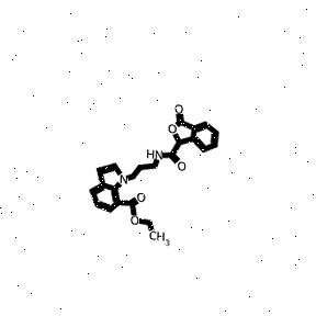 CCOC(=O)c1cccc2ccn(CCCNC(=O)C3OC(=O)c4ccccc43)c12